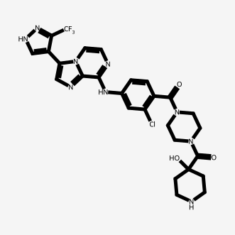 O=C(c1ccc(Nc2nccn3c(-c4c[nH]nc4C(F)(F)F)cnc23)cc1Cl)N1CCN(C(=O)C2(O)CCNCC2)CC1